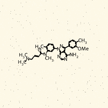 COc1cc(-c2nn(-c3ccc(C)c(N(C)C(=O)/C=C/CN(C)C)c3)c3ncnc(N)c23)ccc1C